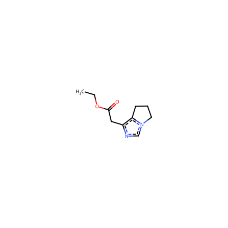 CCOC(=O)Cc1ncn2c1CCC2